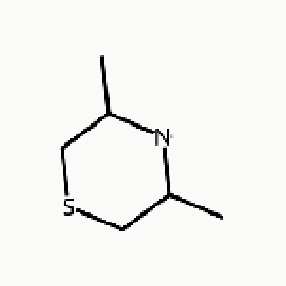 CC1CSCC(C)[N]1